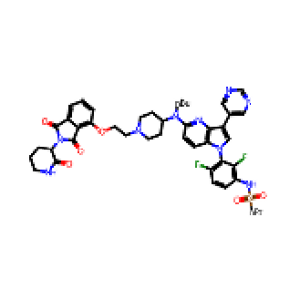 CCCCN(c1ccc2c(n1)c(-c1cncnc1)cn2-c1c(F)ccc(NS(=O)(=O)CCC)c1F)C1CCN(CCOc2cccc3c2C(=O)N(C2CCCNC2=O)C3=O)CC1